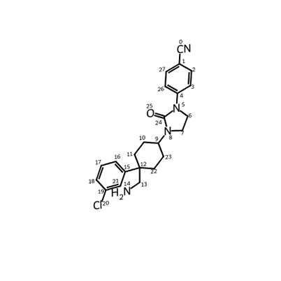 N#Cc1ccc(N2CCN(C3CCC(CN)(c4cccc(Cl)c4)CC3)C2=O)cc1